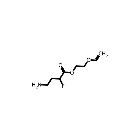 C=COCCOC(=O)C(F)CCN